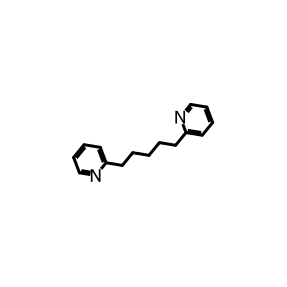 c1ccc(CCCCCc2ccccn2)nc1